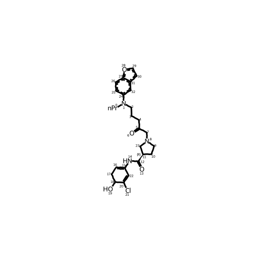 CCCN(CCCC(=O)CN1CC[C@@H](C(=O)NC2=CCC(O)C(Cl)=C2)C1)c1ccc2occc2c1